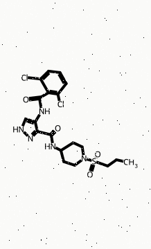 CCCS(=O)(=O)N1CCC(NC(=O)c2n[nH]cc2NC(=O)c2c(Cl)cccc2Cl)CC1